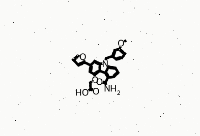 COc1cccc(Cn2c3cc(-c4ccco4)cc(OCC(=O)O)c3c3c(C(N)=O)cccc32)c1